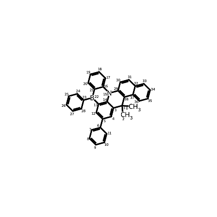 CC1(C)c2cc(-c3ccccc3)cc3c2N(c2ccccc2B3c2ccccc2)c2ccc3ccccc3c21